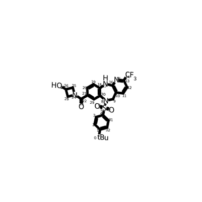 CC(C)(C)c1ccc(S(=O)(=O)N2Cc3ccc(C(F)(F)F)nc3Nc3ccc(C(=O)N4CC(O)C4)cc32)cc1